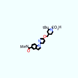 CNC(=O)c1ccc2c(ccn2-c2ccc(OCC3CCN(C(=O)O)C(C(C)(C)C)C3)cn2)c1